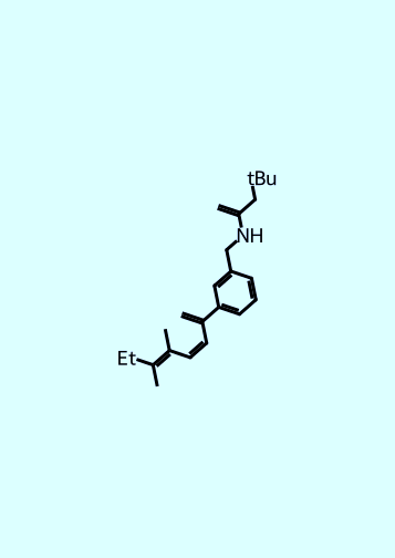 C=C(CC(C)(C)C)NCc1cccc(C(=C)/C=C\C(C)=C(/C)CC)c1